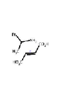 CC(C)C(C)N.O=C(O)/C=C/C(=O)O